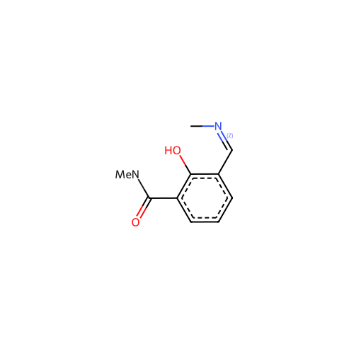 C/N=C\c1cccc(C(=O)NC)c1O